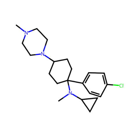 CN1CCN(C2CCC(c3ccc(Cl)cc3)(N(C)C3CC3)CC2)CC1